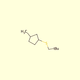 CC1CCC(SCC(C)(C)C)C1